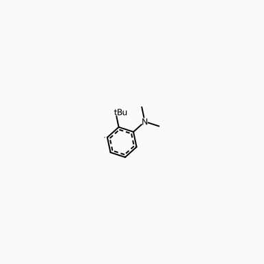 CN(C)c1ccc[c]c1C(C)(C)C